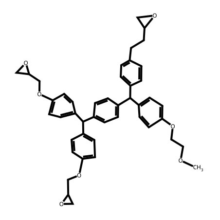 COCCOc1ccc(C(c2ccc(CCC3CO3)cc2)c2ccc(C(c3ccc(OCC4CO4)cc3)c3ccc(OCC4CO4)cc3)cc2)cc1